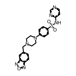 O=S(=O)(Nc1ccncn1)c1ccc(N2CCN(Cc3ccc4nonc4c3)CC2)cc1